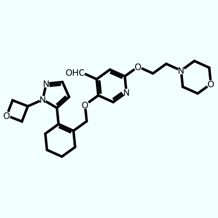 O=Cc1cc(OCCN2CCOCC2)ncc1OCC1=C(c2ccnn2C2COC2)CCCC1